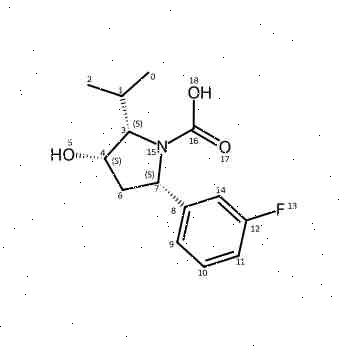 CC(C)[C@H]1[C@@H](O)C[C@@H](c2cccc(F)c2)N1C(=O)O